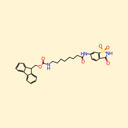 O=C(CCCCCCCNC(=O)OCC1c2ccccc2-c2ccccc21)Nc1ccc2c(c1)S(=O)(=O)NC2=O